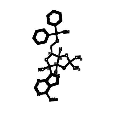 CSc1ncnc2c([C@]3(C#N)O[C@H](CO[Si](c4ccccc4)(c4ccccc4)C(C)(C)C)[C@H]4OC(C)(C)O[C@H]43)scc12